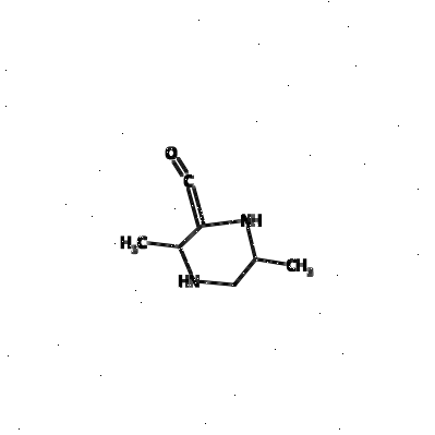 CC1CNC(C)C(=C=O)N1